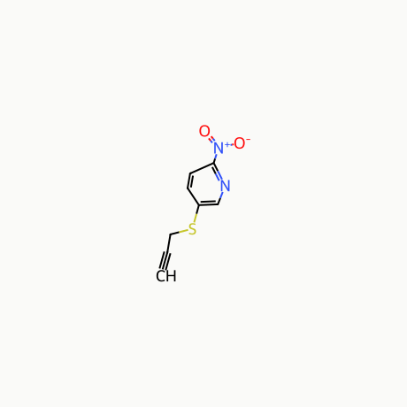 C#CCSc1ccc([N+](=O)[O-])nc1